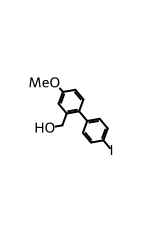 COc1ccc(-c2ccc(I)cc2)c(CO)c1